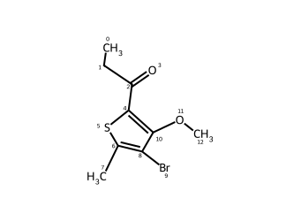 CCC(=O)c1sc(C)c(Br)c1OC